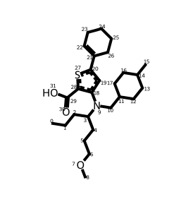 CCCC(CCCOC)N(CC1CCC(C)CC1)c1cc(C2=CCCCC2)sc1C(=O)O